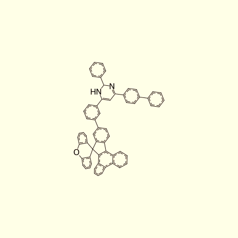 C1=C(c2cccc(-c3ccc4c(c3)C3(c5ccccc5Oc5ccccc53)c3c-4c4ccccc4c4ccccc34)c2)NC(c2ccccc2)N=C1c1ccc(-c2ccccc2)cc1